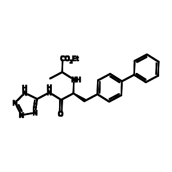 CCOC(=O)C(C)N[C@@H](Cc1ccc(-c2ccccc2)cc1)C(=O)Nc1nnn[nH]1